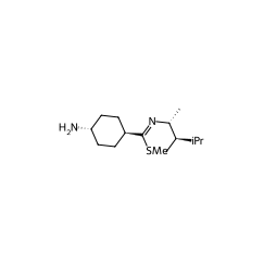 CS/C(=N\[C@H](C)[C@H](C)C(C)C)[C@H]1CC[C@H](N)CC1